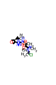 C=N/C(=N\C=C(/C)Cl)[C@@H](OC)[C@H](C)S(=O)(=O)Nc1nnc([C@@H]2CCOC2)n1C1(C)CC1